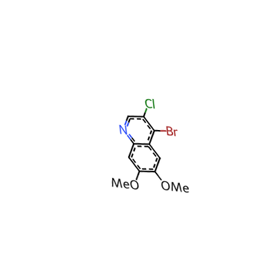 COc1cc2ncc(Cl)c(Br)c2cc1OC